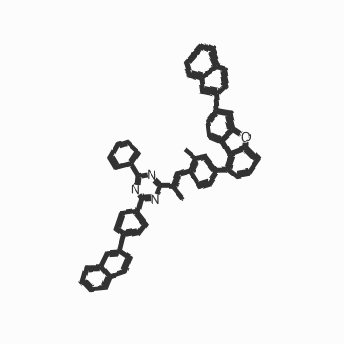 C/C(=C\c1ccc(-c2cccc3oc4cc(-c5ccc6ccccc6c5)ccc4c23)cc1C)c1nc(-c2ccccc2)nc(-c2ccc(-c3ccc4ccccc4c3)cc2)n1